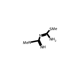 CNC(=N)/N=C(\N)SC